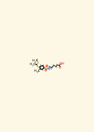 C=C(SC)Sc1ccc(S(=O)(=O)NCCCCCC(=O)O)cc1C